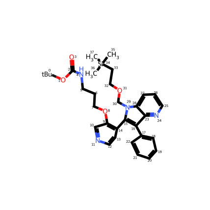 CC(C)(C)OC(=O)NCCCOc1cnccc1-c1c(-c2ccccc2)c2ncccc2n1COCC[Si](C)(C)C